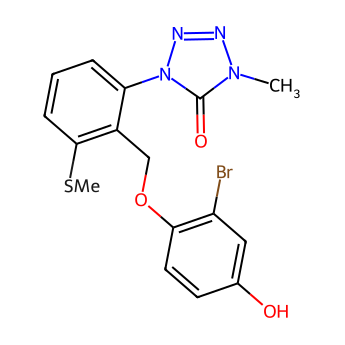 CSc1cccc(-n2nnn(C)c2=O)c1COc1ccc(O)cc1Br